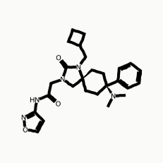 CN(C)[C@]1(c2ccccc2)CC[C@@]2(CC1)CN(CC(=O)Nc1ccon1)C(=O)N2CC1CCC1